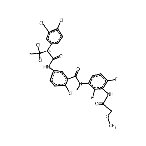 CN(C(=O)c1cc(NC(=O)[C@H](c2ccc(Cl)c(Cl)c2)C(C)(Cl)Cl)ccc1Cl)c1ccc(F)c(NC(=O)COC(F)(F)F)c1F